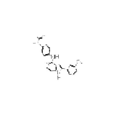 COc1cccc(-c2cc3c(Nc4ccc(NC(C)=O)cc4)nccc3[nH]2)c1